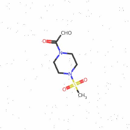 CS(=O)(=O)N1CCN(C(=O)C=O)CC1